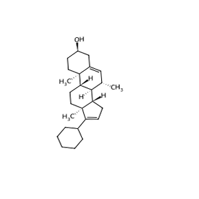 C[C@H]1C=C2C[C@H](O)CC[C@]2(C)[C@H]2CC[C@]3(C)C(C4CCCCC4)=CC[C@H]3[C@H]12